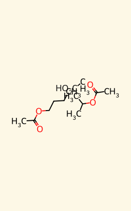 CC(=O)O.CC(=O)OC(C)C.CCCCOC(C)=O